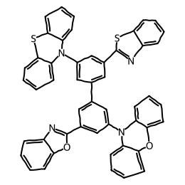 c1ccc2c(c1)Oc1ccccc1N2c1cc(-c2cc(-c3nc4ccccc4s3)cc(N3c4ccccc4Sc4ccccc43)c2)cc(-c2nc3ccccc3o2)c1